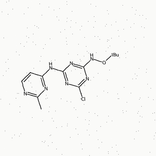 Cc1nccc(Nc2nc(Cl)nc(NOC(C)(C)C)n2)n1